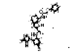 O=C(COc1ccccc1)Nc1cccc2cc(C(=O)Nc3ccc(Br)cc3-c3noc(=O)[nH]3)[nH]c12